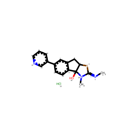 C/N=C1\SC2Cc3cc(-c4cccnc4)ccc3C2(O)N1C.Cl